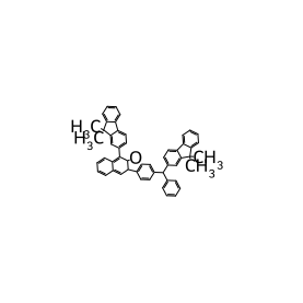 CC1(C)c2ccccc2-c2ccc(C3=c4ccccc4=CC4c5ccc(C(c6ccccc6)c6ccc7c(c6)C(C)(C)c6ccccc6-7)cc5OC34)cc21